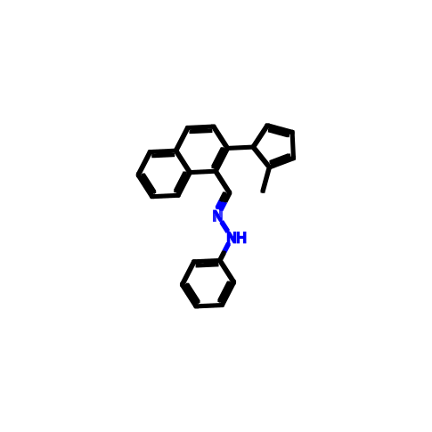 CC1=CC=CC1c1ccc2ccccc2c1C=NNc1ccccc1